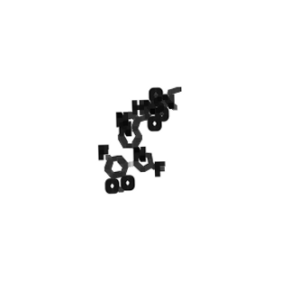 CCN(C)S(=O)(=O)NC(=O)c1cnn2ccc(N3C[C@@H](F)C[C@@H]3c3cc(F)cc4c3OCO4)cc12